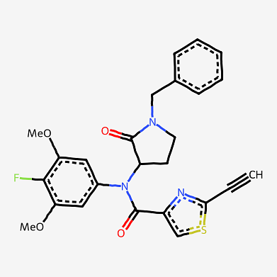 C#Cc1nc(C(=O)N(c2cc(OC)c(F)c(OC)c2)C2CCN(Cc3ccccc3)C2=O)cs1